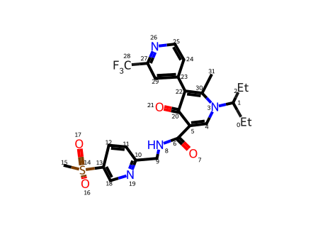 CCC(CC)n1cc(C(=O)NCc2ccc(S(C)(=O)=O)cn2)c(=O)c(-c2ccnc(C(F)(F)F)c2)c1C